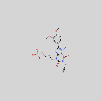 C#CCn1c(=O)c2c(nc(-c3ccc(OC)c(OC)c3)n2C)n(CCCOP(=O)(O)O)c1=O